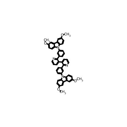 COc1ccc2c(c1)c1cc(OC)ccc1n2-c1cccc(-c2ncccc2-c2cccnc2-c2cccc(-n3c4ccc(OC)cc4c4cc(OC)ccc43)c2)c1